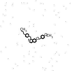 CCCCc1ccc(Cc2nccc3ccc(OCc4ccc(OC)cc4)cc23)cc1